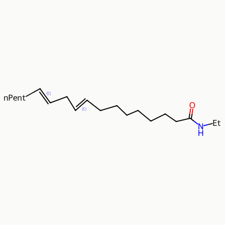 CCCCC/C=C/C/C=C/CCCCCCCC(=O)NCC